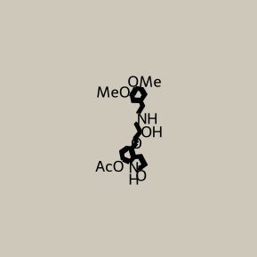 COc1ccc(CCNCC(O)COc2ccc(OC(C)=O)c3[nH]c(=O)ccc23)cc1OC